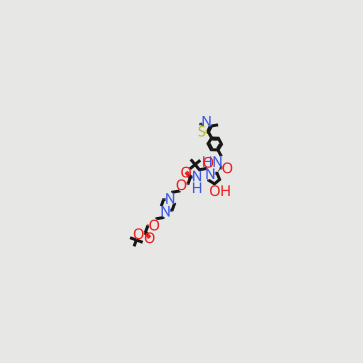 Cc1ncsc1-c1ccc(CNC(=O)[C@@H]2C[C@@H](O)CN2C(=O)[C@@H](NC(=O)COCCN2CCN(CCOCC(=O)OC(C)(C)C)CC2)C(C)(C)C)cc1